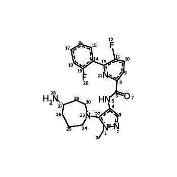 Cn1ncc(NC(=O)c2ccc(F)c(-c3ccccc3F)n2)c1N1CCC[C@H](N)CC1